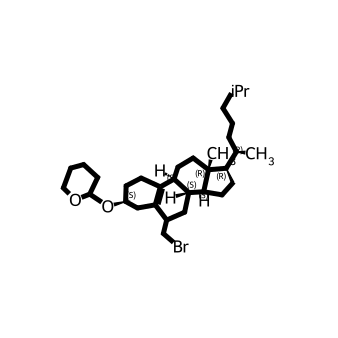 CC(C)CCC[C@@H](C)[C@H]1CC[C@H]2[C@@H]3CC(CBr)C4=C(CC[C@H](OC5CCCCO5)C4)[C@H]3CC[C@]12C